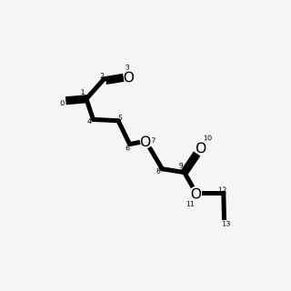 C=C(C=O)CCCOCC(=O)OCC